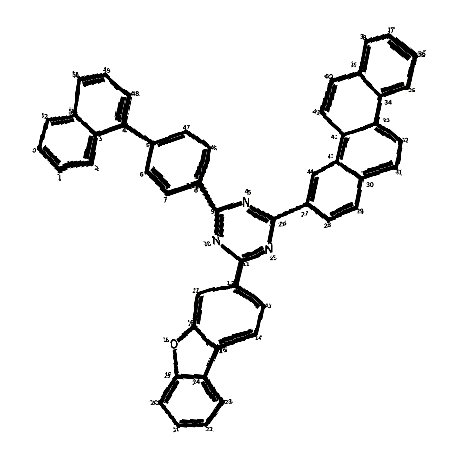 c1ccc2c(-c3ccc(-c4nc(-c5ccc6c(c5)oc5ccccc56)nc(-c5ccc6ccc7c8ccccc8ccc7c6c5)n4)cc3)cccc2c1